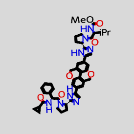 COC(=O)NC(C(=O)N1CCC[C@H]1c1ncc(-c2cc3c4c(c2)OCc2cc(-c5cnc([C@@H]6CCCN6C(=O)[C@H](NC(=O)C6CC6)c6ccccc6)[nH]5)cc(c2-4)OC3)[nH]1)C(C)C